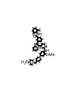 COc1cc(N2CCC(CN3CCN(C)CC3)CC2)ccc1NC1N=CC=C(c2c(-c3cccc(C(=O)Nc4c(F)cccc4F)c3)nc3ccccn23)N1